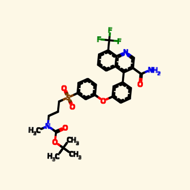 CN(CCCS(=O)(=O)c1cccc(Oc2cccc(-c3c(C(N)=O)cnc4c(C(F)(F)F)cccc34)c2)c1)C(=O)OC(C)(C)C